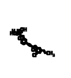 CCCc1cc(Cl)c2oc(C#Cc3ccc4oc(C(N)(CO)CO)cc4c3)cc2c1